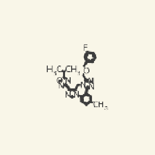 Cc1ccc2c(c1)-c1nnc(COCc3cccc(F)c3)n1Cc1c(-c3noc(C(C)C)n3)ncn1-2